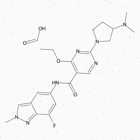 CCOc1nc(N2CCC(N(C)C)C2)ncc1C(=O)Nc1cc(F)c2nn(C)cc2c1.O=CO